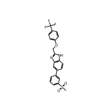 CS(=O)(=O)c1cccc(-c2ccc3[nH]c(COc4ccc(C(F)(F)F)cc4)nc3c2)c1